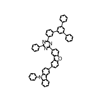 c1ccc(-c2cc(-c3ccccc3)cc(-c3cccc(-c4nc(-c5ccccc5)nc(-c5ccc6oc7ccc(-c8ccc9c(c8)c8ccccc8n9-c8ccccc8)cc7c6c5)n4)c3)c2)cc1